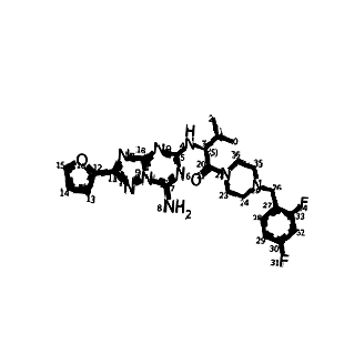 CC(C)[C@H](Nc1nc(N)n2nc(-c3ccco3)nc2n1)C(=O)N1CCN(Cc2ccc(F)cc2F)CC1